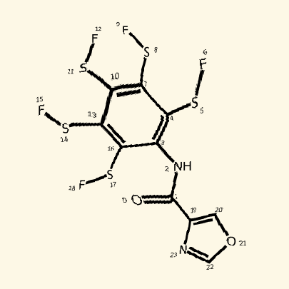 O=C(Nc1c(SF)c(SF)c(SF)c(SF)c1SF)c1cocn1